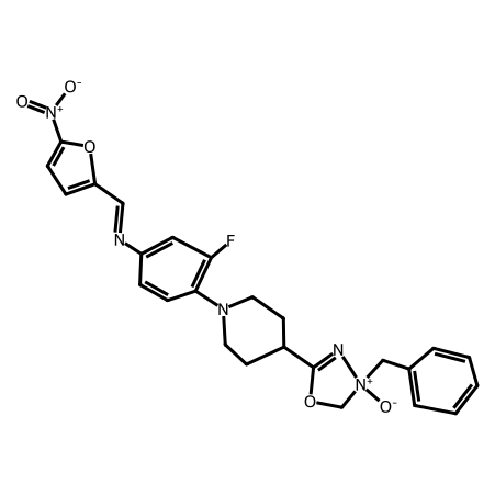 O=[N+]([O-])c1ccc(C=Nc2ccc(N3CCC(C4=N[N+]([O-])(Cc5ccccc5)CO4)CC3)c(F)c2)o1